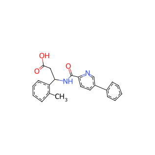 Cc1ccccc1C(CC(=O)O)NC(=O)c1ccc(-c2ccccc2)cn1